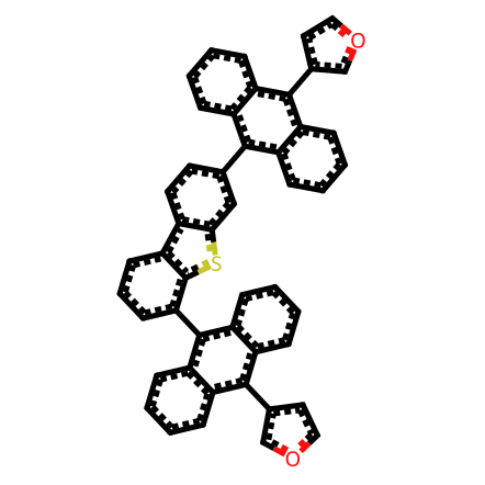 c1ccc2c(-c3ccc4c(c3)sc3c(-c5c6ccccc6c(-c6ccoc6)c6ccccc56)cccc34)c3ccccc3c(-c3ccoc3)c2c1